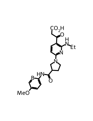 CCNc1nc(N2CCC(C(=O)Nc3bcc(OC)cc3)C2)ccc1C(=O)CC(=O)O